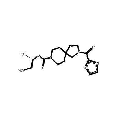 O=C(O[C@H](CO)C(F)(F)F)N1CCC2(CC1)CCN(C(=O)c1nccs1)C2